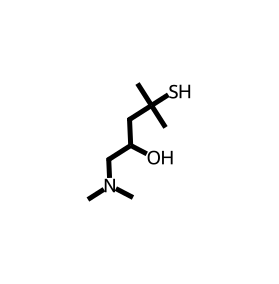 CN(C)CC(O)CC(C)(C)S